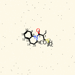 CC(=O)SC[C@H](C)C(=O)N1c2ccccc2CC[C@H]1C(=O)O